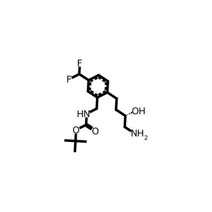 CC(C)(C)OC(=O)NCc1cc(C(F)F)ccc1CC[C@H](O)CN